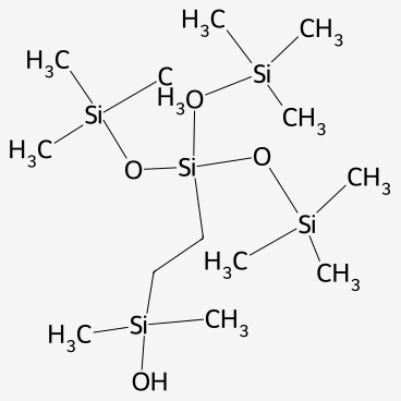 C[Si](C)(O)CC[Si](O[Si](C)(C)C)(O[Si](C)(C)C)O[Si](C)(C)C